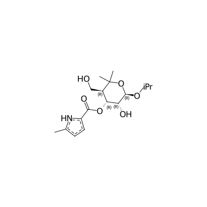 Cc1ccc(C(=O)O[C@H]2[C@@H](O)[C@H](OC(C)C)OC(C)(C)[C@@H]2CO)[nH]1